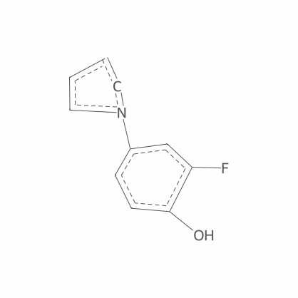 Oc1ccc(-n2cccc2)cc1F